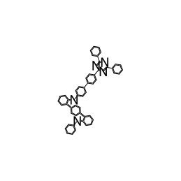 c1ccc(-c2nc(-c3ccccc3)nc(-c3ccc(-c4ccc(-n5c6ccccc6c6cc7c(cc65)c5ccccc5n7-c5ccccc5)cc4)cc3)n2)cc1